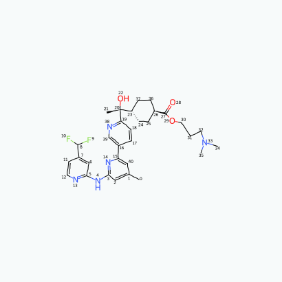 Cc1cc(Nc2cc(C(F)F)ccn2)nc(-c2ccc([C@](C)(O)[C@H]3CC[C@H](C(=O)OCCCN(C)C)CC3)nc2)c1